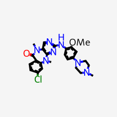 COc1cc(N2CCN(C)CC2)ccc1Nc1ncc2c(n1)N(C)c1cc(Cl)ccc1C(=O)N2C